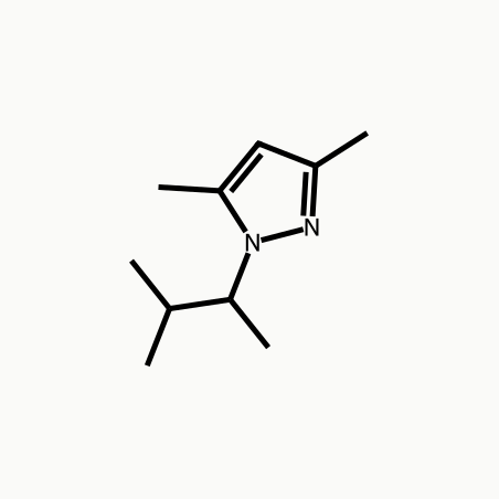 Cc1cc(C)n(C(C)C(C)C)n1